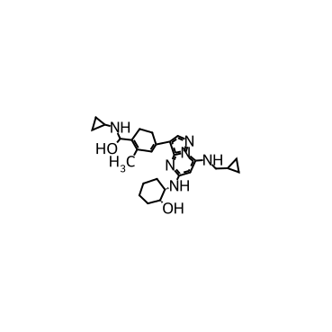 CC1=C(C(O)NC2CC2)CCC(c2cnn3c(NCC4CC4)cc(N[C@H]4CCCC[C@H]4O)nc23)=C1